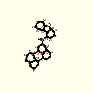 c1ccc(-c2cccc3cccc(-c4cccc(Nc5cccc6oc7ccccc7c56)c4)c23)cc1